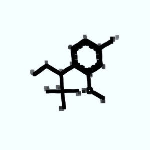 CCC(c1ccc(F)cc1OC)C(C)(C)C